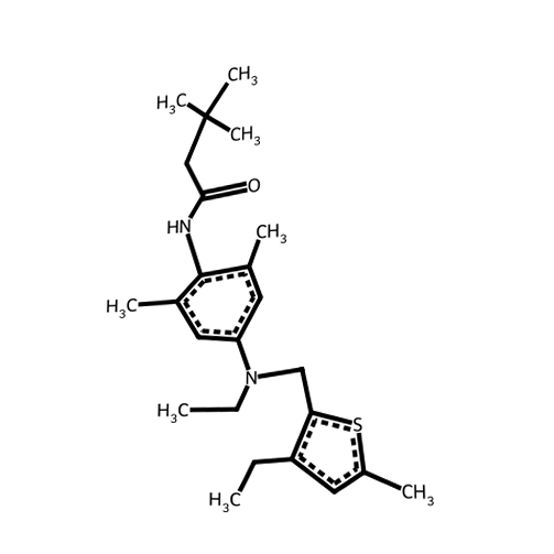 CCc1cc(C)sc1CN(CC)c1cc(C)c(NC(=O)CC(C)(C)C)c(C)c1